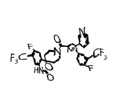 O=C1Nc2cc(C(F)(F)F)c(F)cc2C2(CCN(C(=O)c3cc(-c4cccnc4)n(-c4ccc(F)c(C(F)(F)F)c4)n3)CC2)O1